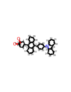 O=C1C(=O)C2C=CC1C=C2c1c2ccccc2c(-c2ccc(-n3c4ccccc4c4ccccc43)cc2)c2ccccc12